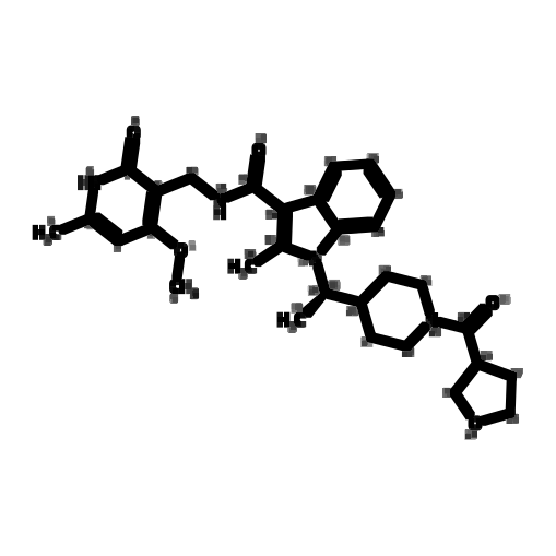 COc1cc(C)[nH]c(=O)c1CNC(=O)c1c(C)n([C@H](C)C2CCN(C(=O)C3CCOC3)CC2)c2ccccc12